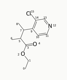 CCOC(=O)C(C)C(C)c1ccncc1Cl